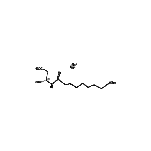 CCCCCCCCCCCCCCCCCC(=O)N[C@@H](CC(=O)[O-])C(=O)[O-].[Na+].[Na+]